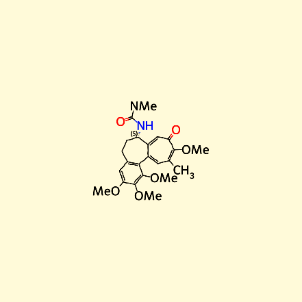 CNC(=O)N[C@H]1CCc2cc(OC)c(OC)c(OC)c2-c2cc(C)c(OC)c(=O)cc21